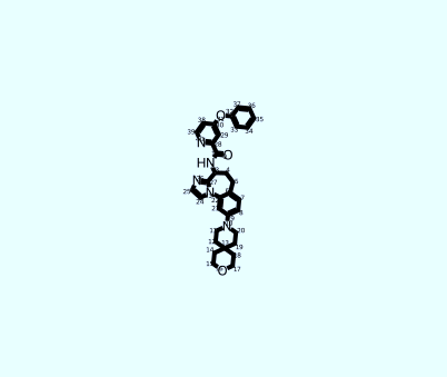 O=C(NC1CCc2ccc(N3CCC4(CCOCC4)CC3)cc2-n2ccnc21)c1cc(Oc2ccccc2)ccn1